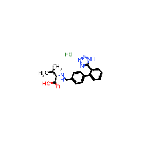 CC(C)[C@H](NCc1ccc(-c2ccccc2-c2nnn[nH]2)cc1)C(=O)O.Cl